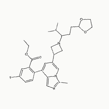 CCOC(=O)c1cc(F)ccc1-c1cc(C2CN(C(CCC3OCCO3)C(C)C)C2)cn2c(C)ncc12